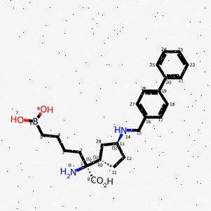 N[C@](CCCCB(O)O)(C(=O)O)[C@H]1CC[C@H](NCc2ccc(-c3ccccc3)cc2)C1